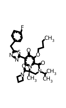 CCCCOc1c2n(cc(-c3nnc(Cc4ccc(F)cc4)s3)c1=O)[C@@](C)(C(=O)N1CCC1)CN(C(C)C)C2=O